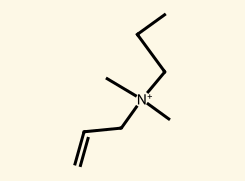 C=CC[N+](C)(C)CCC